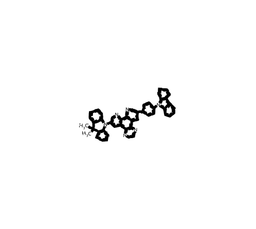 CC1(C)c2ccccc2N(c2cnc3c(c2)c2nccnc2c2cc(-c4ccc(-n5c6ccccc6c6ccccc65)cc4)cnc23)c2ccccc21